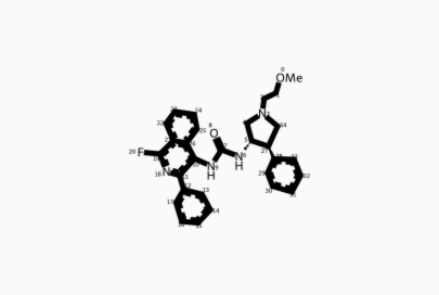 COCCN1C[C@@H](NC(=O)Nc2c(-c3ccccc3)nc(F)c3ccccc23)[C@H](c2ccccc2)C1